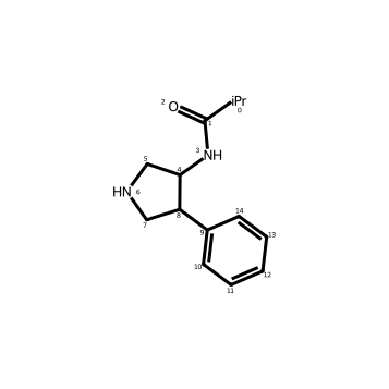 CC(C)C(=O)NC1CNCC1c1ccccc1